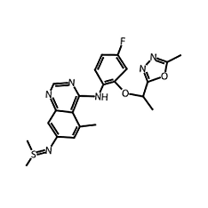 Cc1nnc(C(C)Oc2cc(F)ccc2Nc2ncnc3cc(N=S(C)C)cc(C)c23)o1